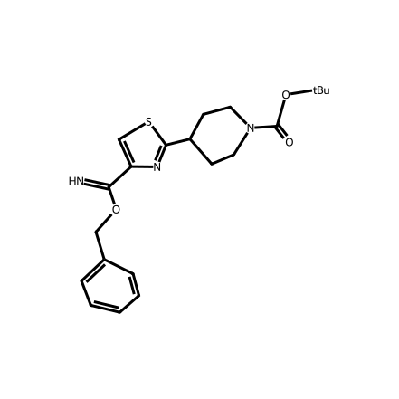 CC(C)(C)OC(=O)N1CCC(c2nc(C(=N)OCc3ccccc3)cs2)CC1